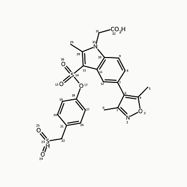 Cc1noc(C)c1-c1ccc2c(c1)c(S(=O)(=O)Oc1ccc(C[SH](=O)=O)cc1)c(C)n2CC(=O)O